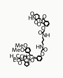 CCC(C)(C)C(=O)C(=O)C1CCC[C@H]1C(=O)O[C@H](CCc1ccc(OC)c(OC)c1)c1cccc(OCC(=O)NCCCCNC(=O)COc2cccc3c2C(=O)N(C2CCC(=O)NC2=O)C3=O)c1